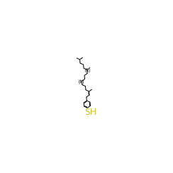 CC(=CCc1ccc(S)cc1)CCC[C@H](C)CCC[C@H](C)CCCC(C)C